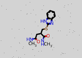 CNC(=O)CC(CSc1nc2ccccc2[nH]1)C(=O)NC